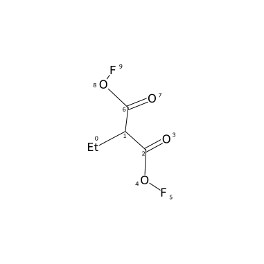 CCC(C(=O)OF)C(=O)OF